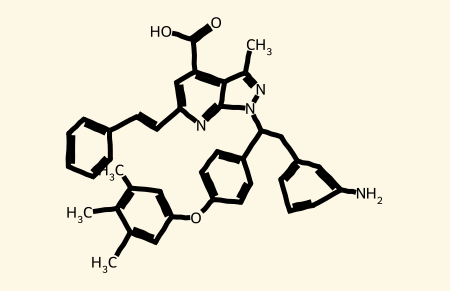 Cc1cc(Oc2ccc(C(Cc3cccc(N)c3)n3nc(C)c4c(C(=O)O)cc(/C=C/c5ccccc5)nc43)cc2)cc(C)c1C